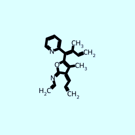 C=C/C=C1C(C)=C(/C(=C(/C)C=C)c2ccccn2)OC/1=N/C=C